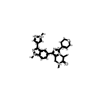 CC1C(=O)N(C)Cc2c(-c3ccc4c(c3)c(-c3cnn(C)c3)nn4C)nc(C3=CCOCC3)n21